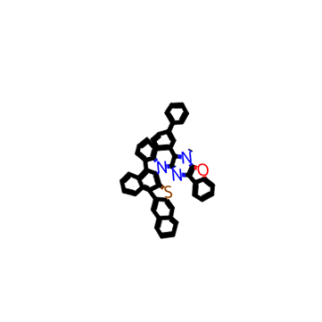 CN1c2oc3ccccc3c2N=C(n2c3ccccc3c3c4ccccc4c4c5cc6ccccc6cc5sc4c32)C1c1cccc(-c2ccccc2)c1